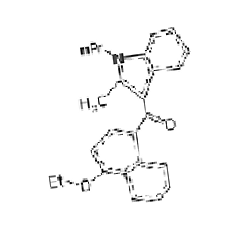 CCCn1c(C)c(C(=O)c2ccc(OCC)c3ccccc23)c2ccccc21